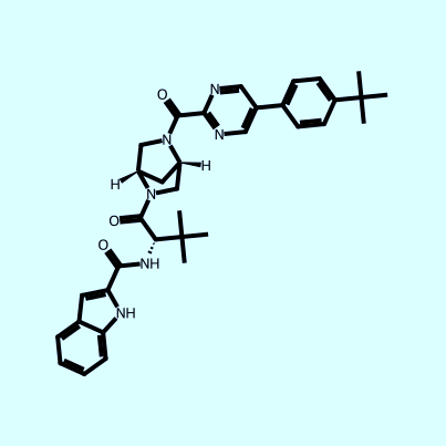 CC(C)(C)c1ccc(-c2cnc(C(=O)N3C[C@@H]4C[C@H]3CN4C(=O)[C@@H](NC(=O)c3cc4ccccc4[nH]3)C(C)(C)C)nc2)cc1